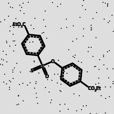 CCOC(=O)c1ccc(OS(=O)(=S)c2ccc(C(=O)OCC)cc2)cc1